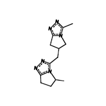 Cc1nnc2n1CC(Cc1nnc3n1C(C)CC3)C2